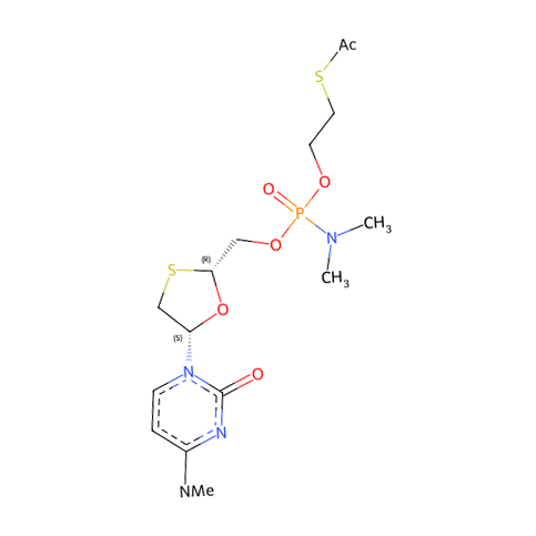 CNc1ccn([C@@H]2CS[C@H](COP(=O)(OCCSC(C)=O)N(C)C)O2)c(=O)n1